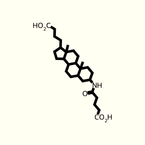 CC12CCC3C(CCC4CC(NC(=O)CCCC(=O)O)CCC43C)C1CCC2CCCC(=O)O